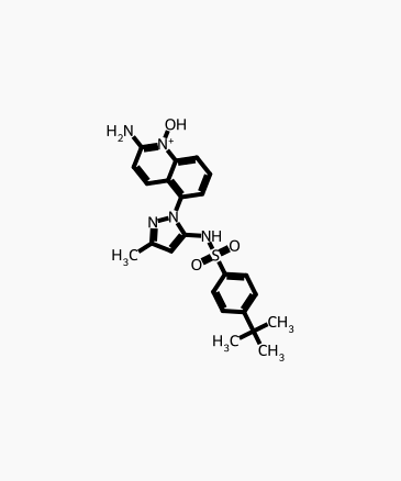 Cc1cc(NS(=O)(=O)c2ccc(C(C)(C)C)cc2)n(-c2cccc3c2ccc(N)[n+]3O)n1